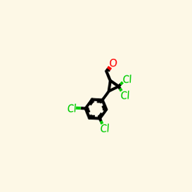 O=CC1C(c2cc(Cl)cc(Cl)c2)C1(Cl)Cl